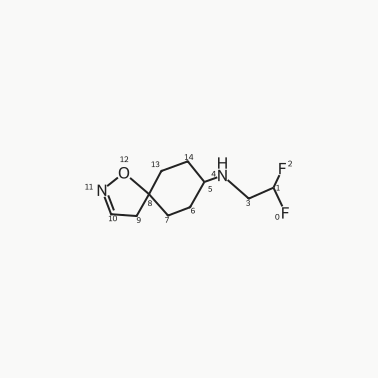 FC(F)CNC1CCC2(CC=NO2)CC1